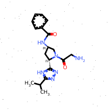 CC(C)c1nnc([C@@H]2C[C@@H](NC(=O)c3ccccc3)CN2C(=O)CN)[nH]1